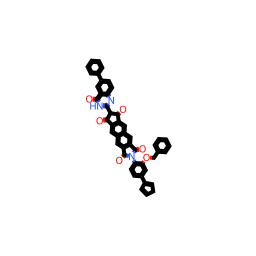 O=C1c2cc3cc4c(cc3cc2C(=O)C1c1nc2ccc(-c3ccccc3)cc2c(=O)[nH]1)C(=O)N(c1ccc(C2=CCC=C2)cc1OCc1ccccc1)C4=O